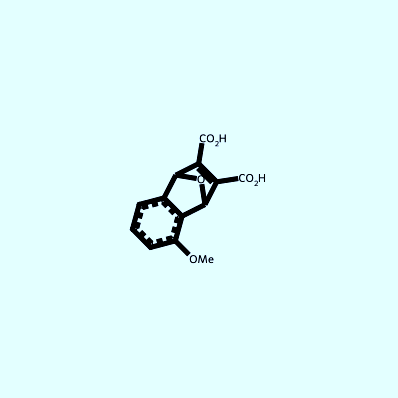 COc1cccc2c1C1OC2C(C(=O)O)=C1C(=O)O